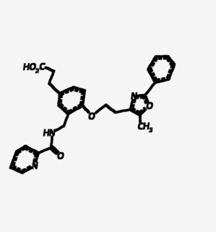 Cc1oc(-c2ccccc2)nc1CCOc1ccc(CCC(=O)O)cc1CNC(=O)c1ccccn1